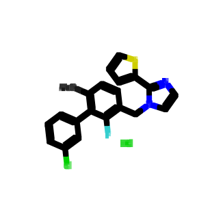 COc1ccc(Cn2ccnc2-c2cccs2)c(F)c1-c1cccc(Cl)c1.Cl